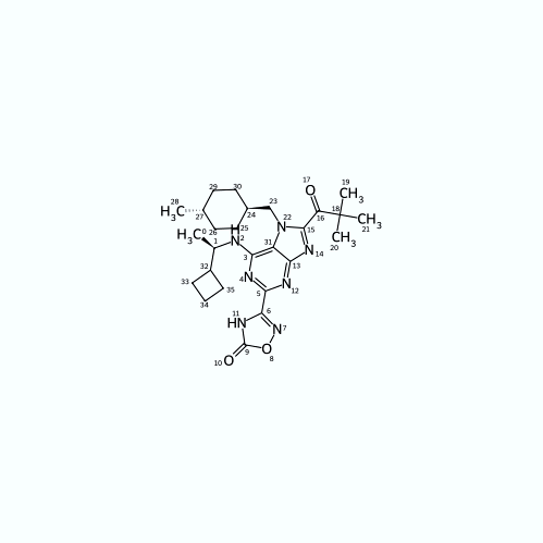 C[C@@H](Nc1nc(-c2noc(=O)[nH]2)nc2nc(C(=O)C(C)(C)C)n(C[C@H]3CC[C@H](C)CC3)c12)C1CCC1